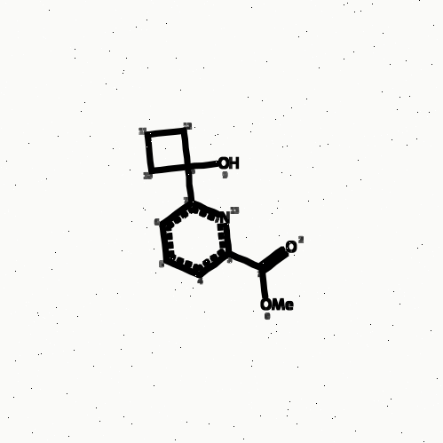 COC(=O)c1cccc(C2(O)CCC2)n1